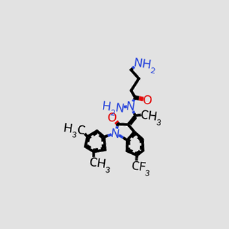 C/C(=C1/C(=O)N(c2cc(C)cc(C)c2)c2cc(C(F)(F)F)ccc21)N(N)C(=O)CCCN